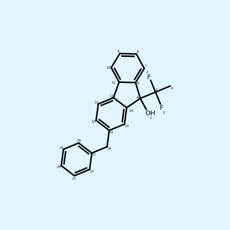 CC(F)(F)C1(O)c2ccccc2-c2ccc(Cc3ccccc3)cc21